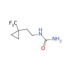 NC(=O)NCCC1(C(F)(F)F)CC1